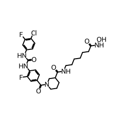 O=C(CCCCCCNC(=O)C1CCCN(C(=O)c2ccc(NC(=O)Nc3ccc(Cl)c(F)c3)c(F)c2)C1)NO